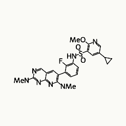 CNc1ncc2cc(-c3cccc(NS(=O)(=O)c4cc(C5CC5)cnc4OC)c3F)c(NC)nc2n1